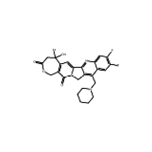 CCC1(O)CC(=O)OCc2c1cc1n(c2=O)Cc2c-1nc1cc(F)c(F)cc1c2CN1CCCCC1